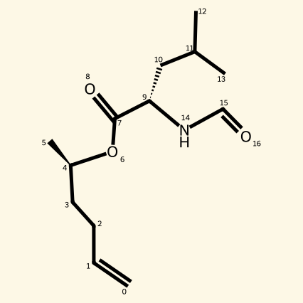 C=CCC[C@@H](C)OC(=O)[C@H](CC(C)C)NC=O